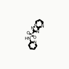 O=S(=O)(Nc1ccccn1)c1nc2ncccn2n1